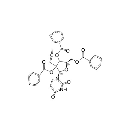 C=C=CC1(OC(=O)c2ccccc2)C(OC(=O)c2ccccc2)[C@@H](COC(=O)c2ccccc2)O[C@H]1n1ccc(=O)[nH]c1=O